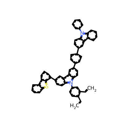 C=Cc1ccc(-n2c3ccc(-c4ccc(-c5ccc6c(c5)c5ccccc5n6-c5ccccc5)cc4)cc3c3cc(-c4cccc5c4sc4ccccc45)ccc32)cc1C=C